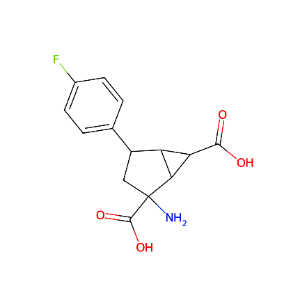 NC1(C(=O)O)CC(c2ccc(F)cc2)C2C(C(=O)O)C21